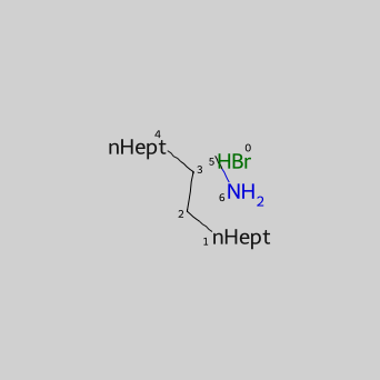 Br.CCCCCCCCCCCCCCCC.CN